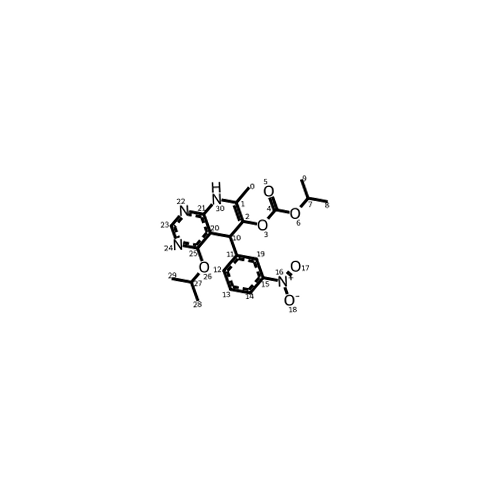 CC1=C(OC(=O)OC(C)C)C(c2cccc([N+](=O)[O-])c2)c2c(ncnc2OC(C)C)N1